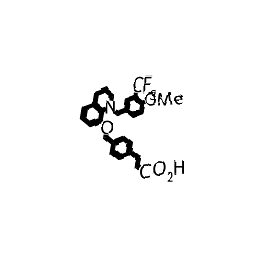 COc1ccc(CN2CCCc3cccc(OCc4ccc(CCC(=O)O)cc4)c32)cc1C(F)(F)F